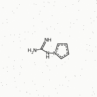 N=C(N)Nn1cccc1